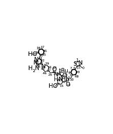 Cc1ncsc1-c1ccc(CNC(=O)C2CC(O)CN2C(=O)[C@@H](NC(=O)CC2CCN(c3cc(-c4ccccc4O)nnc3N)CC2)C(C)(C)C)cc1